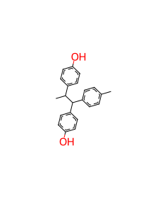 Cc1ccc(C(c2ccc(O)cc2)C(C)c2ccc(O)cc2)cc1